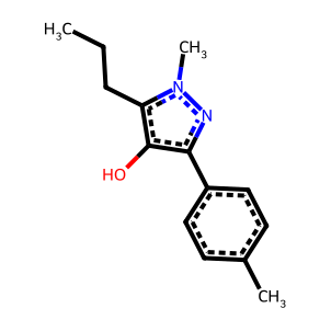 CCCc1c(O)c(-c2ccc(C)cc2)nn1C